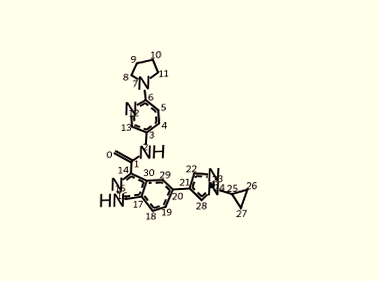 C=C(Nc1ccc(N2CCCC2)nc1)c1n[nH]c2ccc(-c3cnn(C4CC4)c3)cc12